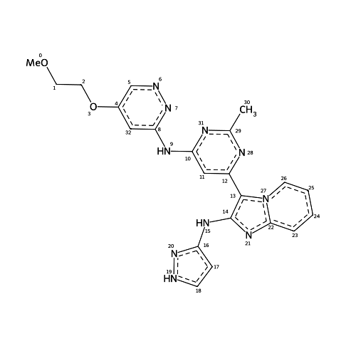 COCCOc1cnnc(Nc2cc(-c3c(Nc4cc[nH]n4)nc4ccccn34)nc(C)n2)c1